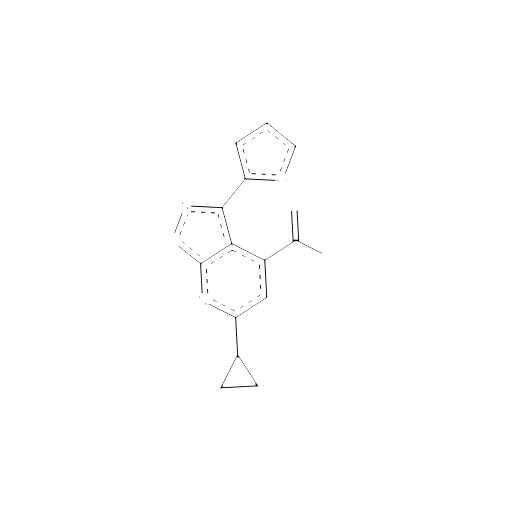 O=C(O)c1cc(C2CC2)nc2onc(-c3ccco3)c12